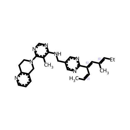 C\C=C/C(=C\C(C)=C\CC)c1ncc(CNc2ncnc(N3CCc4ncccc4C3)c2C)cn1